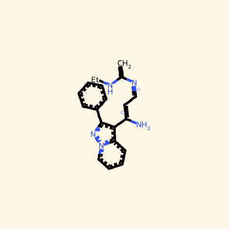 C=C(/N=C\C=C(/N)c1c(-c2ccccc2)nn2ccccc12)NCC